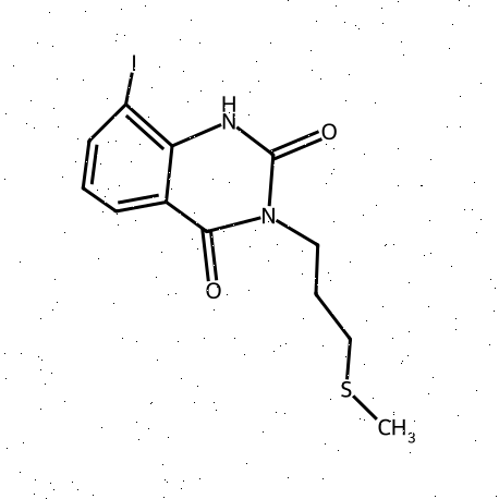 CSCCCn1c(=O)[nH]c2c(I)cccc2c1=O